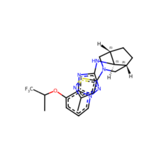 Cc1cc(N2C[C@H]3CC[C@@H](C2)[C@@H]3Nc2nc3c(OC(C)C(F)(F)F)cccn3n2)sn1